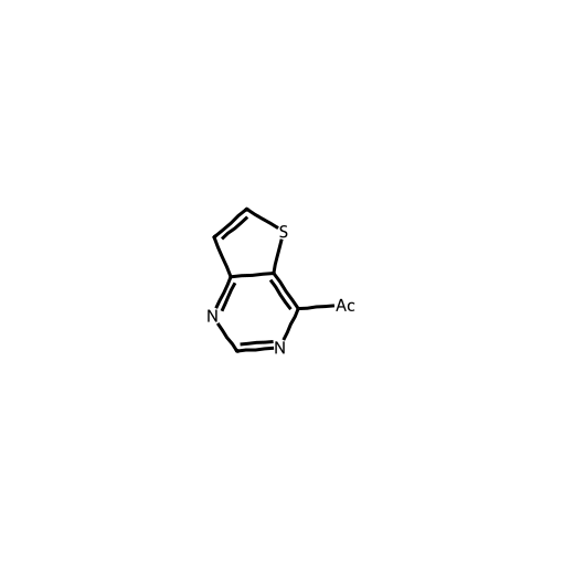 CC(=O)c1ncnc2ccsc12